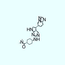 CN(C)C(=O)[C@H]1CC[C@@H](Nc2ncc3c(-c4ccc5ncnn5c4)c[nH]c3n2)CC1